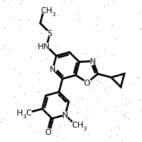 CCSNc1cc2nc(C3CC3)oc2c(-c2cc(C)c(=O)n(C)c2)n1